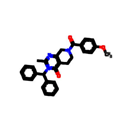 Cc1nc2c(c(=O)n1C(c1ccccc1)c1ccccc1)CCN(C(=O)c1ccc(OC(F)(F)F)cc1)C2